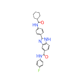 O=C(Nc1ccc(F)cc1)c1ccc2[nH]c(-c3ccc(NC(=O)C4CCCCC4)cc3)nc2c1